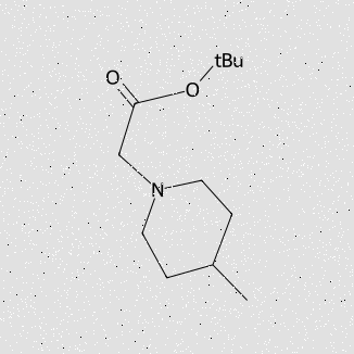 CC1CCN(CC(=O)OC(C)(C)C)CC1